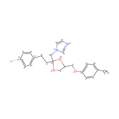 Cc1ccc(OCC2COC(CCc3ccc(F)cc3)(Cn3ccnc3)O2)cc1